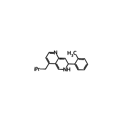 Cc1ccccc1C1C=c2nccc(CC(C)C)c2=CN1